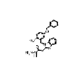 NNC(=O)CC1=Nc2ccccc2[N+]1=Cc1cc(OCc2ccccc2)ccc1O